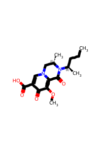 CCC[C@@H](C)N1C(=O)c2c(OC)c(=O)c(C(=O)O)cn2C[C@@H]1C